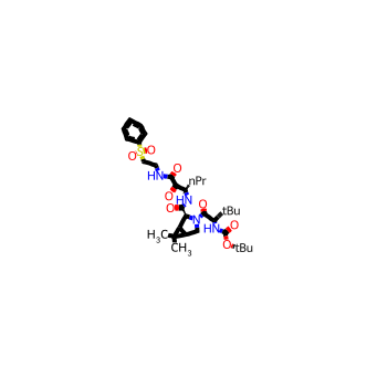 CCC[C@@H](NC(=O)[C@@H]1C2C(CN1C(=O)C(NC(=O)OC(C)(C)C)C(C)(C)C)C2(C)C)C(=O)C(=O)NCCS(=O)(=O)c1ccccc1